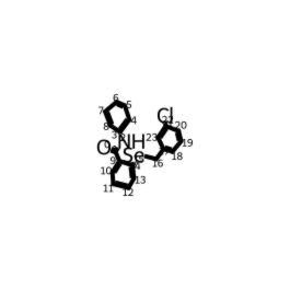 O=C(Nc1ccccc1)c1ccccc1[Se]Cc1cccc(Cl)c1